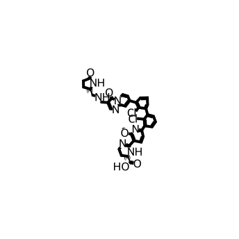 COc1nc(-c2cccc(-c3cccc(-c4ccn5c(=O)c(CNC[C@H]6CCC(=O)N6)cnc5c4)c3Cl)c2Cl)ccc1C1=NCC[C@H](C(=O)O)N1